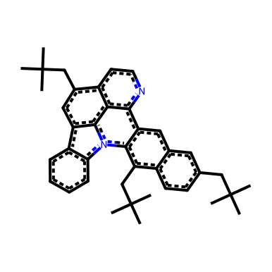 CC(C)(C)Cc1ccc2c(CC(C)(C)C)c3c(cc2c1)c1nccc2c(CC(C)(C)C)cc4c5ccccc5n3c4c21